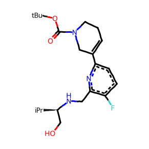 CC(C)[C@H](CO)NCc1nc(C2=CCCN(C(=O)OC(C)(C)C)C2)ccc1F